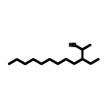 CCCCCCCCCC(CC)C(C)O